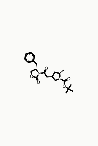 C[C@@H]1C[C@H](CC(=O)N2C(=O)OC[C@@H]2Cc2ccccc2)CN1C(=O)OC(C)(C)C